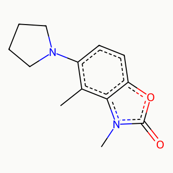 Cc1c(N2CCCC2)ccc2oc(=O)n(C)c12